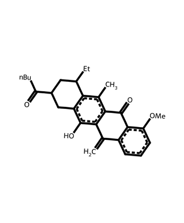 C=C1c2cccc(OC)c2C(=O)c2c(C)c3c(c(O)c21)CC(C(=O)CCCC)CC3CC